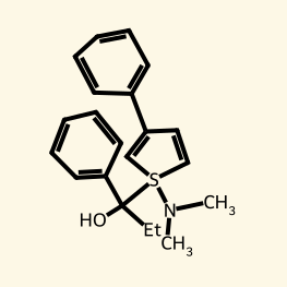 CCC(O)(c1ccccc1)S1(N(C)C)C=CC(c2ccccc2)=C1